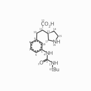 CC(C)(C)NC(=O)Nc1cccc(C[C@H](C(=O)O)[C@H]2CCNC2)c1